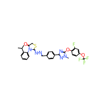 CC(C)c1ccccc1N1C(=O)CSC1=NN=Cc1ccc(-c2nc(Oc3ccc(OC(F)(F)F)cc3F)n(C)n2)cc1